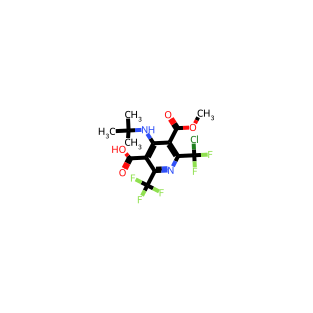 COC(=O)c1c(C(F)(F)Cl)nc(C(F)(F)F)c(C(=O)O)c1NC(C)(C)C